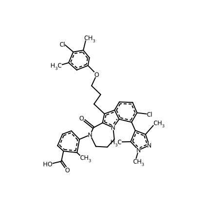 Cc1cc(OCCCc2c3n(c4c(-c5c(C)nn(C)c5C)c(Cl)ccc24)CCCN(c2cccc(C(=O)O)c2C)C3=O)cc(C)c1Cl